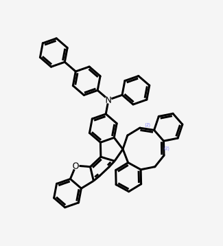 C1=c2/cccc/c2=C/CC2(c3ccccc3C/1)c1cc(N(c3ccccc3)c3ccc(-c4ccccc4)cc3)ccc1-c1c2ccc2c1oc1ccccc12